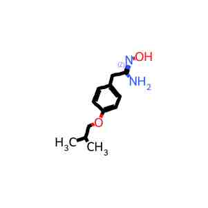 CC(C)COc1ccc(C/C(N)=N/O)cc1